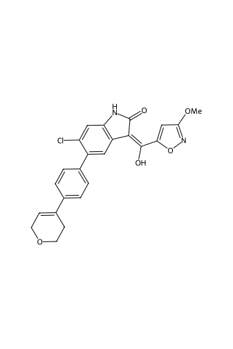 COc1cc(/C(O)=C2\C(=O)Nc3cc(Cl)c(-c4ccc(C5=CCOCC5)cc4)cc32)on1